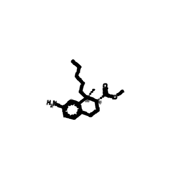 CCCCC[C@]1(C)c2cc(N)ccc2CC[C@H]1C(=O)OC